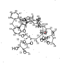 CC[C@H]1OC(=O)[C@H](C)[C@@H](O[C@H]2C[C@@](C)(OC)[C@@H](O)[C@H](C)O2)[C@H](C)[C@@H](O[C@@H]2O[C@H](C)C[C@H](N(C)CCCNC(=O)/C=C/c3cc4c(s3)-c3ccccc3Cc3ccccc3-4)[C@H]2O)[C@](C)(O)C[C@@H](C)CN(C)[C@H](C)[C@@H](O)[C@]1(C)O